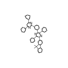 CC1(C)c2ccccc2-c2ccc(-c3nc(-c4ccccc4)c(-c4cccc(-c5nc(-c6ccccc6)cc(-c6ccccc6)n5)c4)nc3-c3ccccc3)cc21